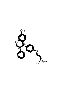 CCN(CC)CCOc1ccc([C@@H]2c3ccc(O)cc3OC[C@@H]2c2ccccc2)cc1